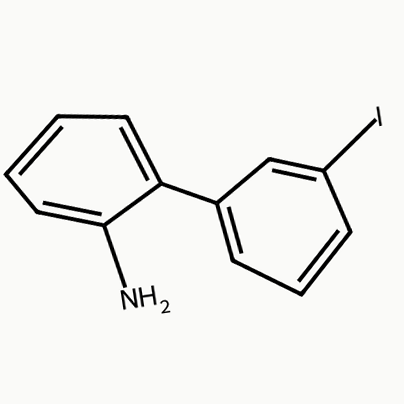 Nc1ccccc1-c1cccc(I)c1